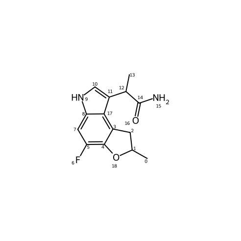 CC1Cc2c(c(F)cc3[nH]cc(C(C)C(N)=O)c23)O1